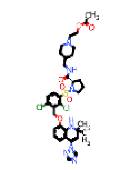 CC(=O)OCCN1CCC(CNC(=O)[C@@H]2CCCN2S(=O)(=O)c2ccc(Cl)c(COc3cccc4c3NC(C)(C)C=C4n3cncn3)c2Cl)CC1